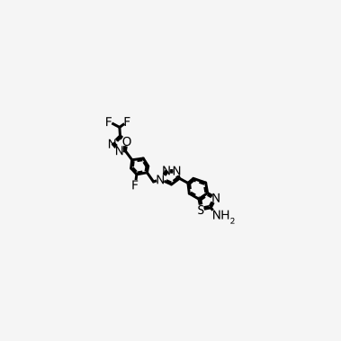 Nc1nc2ccc(-c3cn(Cc4ccc(-c5nnc(C(F)F)o5)cc4F)nn3)cc2s1